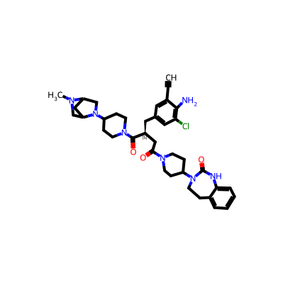 C#Cc1cc(C[C@@H](CC(=O)N2CCC(N3CCc4ccccc4NC3=O)CC2)C(=O)N2CCC(N3CC4CC3CN4C)CC2)cc(Cl)c1N